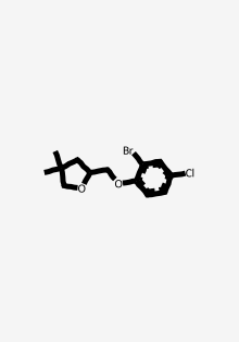 CC1(C)COC(COc2ccc(Cl)cc2Br)C1